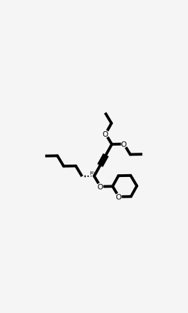 CCCCC[C@H](C#CC(OCC)OCC)OC1CCCCO1